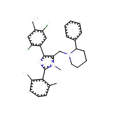 CCc1cccc(CC)c1-c1nc(-c2cc(F)c(OC)cc2F)c(CN2CCCCC2c2ccccc2)n1CC